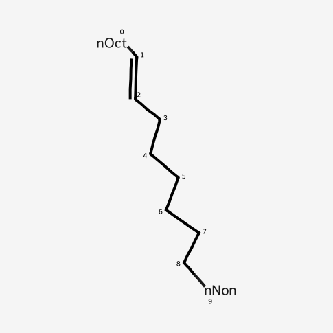 [CH2]CCCCCCC/C=C/CCCCCCCCCCCCCC[CH2]